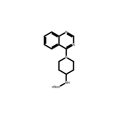 CCCCCCCCCNC1CCN(c2ncnc3ccccc23)CC1